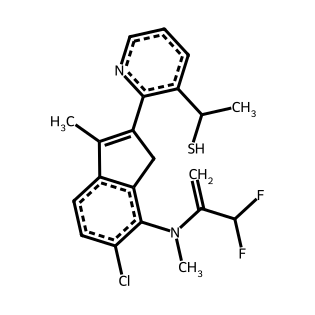 C=C(C(F)F)N(C)c1c(Cl)ccc2c1CC(c1ncccc1C(C)S)=C2C